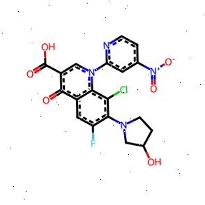 O=C(O)c1cn(-c2cc([N+](=O)[O-])ccn2)c2c(Cl)c(N3CCC(O)C3)c(F)cc2c1=O